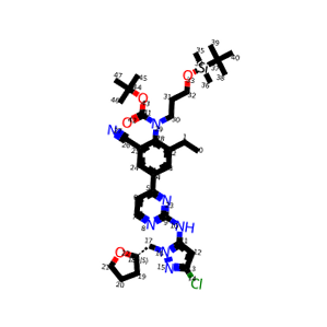 CCc1cc(-c2ccnc(Nc3cc(Cl)nn3C[C@@H]3CCCO3)n2)cc(C#N)c1N(CCCO[Si](C)(C)C(C)(C)C)C(=O)OC(C)(C)C